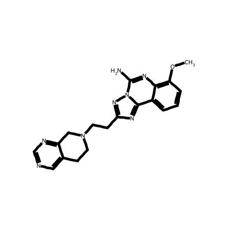 COc1cccc2c1nc(N)n1nc(CCN3CCc4cncnc4C3)nc21